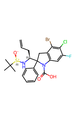 C=CC[C@H](N[S@+]([O-])C(C)(C)C)C1(c2ccccc2)Cc2c(cc(F)c(Cl)c2Br)N1C(=O)O